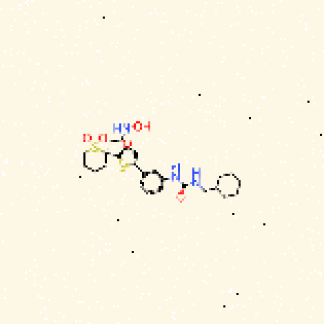 O=C(C[C@]1(c2ccc(-c3cccc(NC(=O)NCC4CCCCC4)c3)s2)CCCCS1(=O)=O)NO